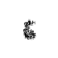 C=C(B=O)C(Oc1cc(C(=O)Nc2ccc(C(=O)N3C[C@@H](C)N[C@@H](C)C3)cc2)nnc1N)c1c(Cl)ccc(F)c1Cl